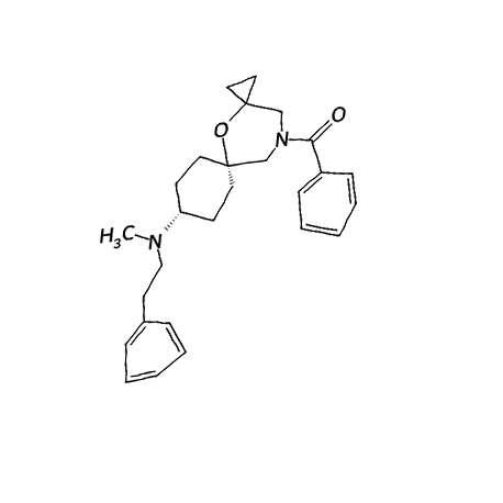 CN(CCc1ccccc1)[C@H]1CC[C@@]2(CC1)CN(C(=O)c1ccccc1)CC1(CC1)O2